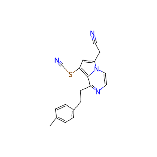 Cc1ccc(CCc2nccn3c(CC#N)cc(SC#N)c23)cc1